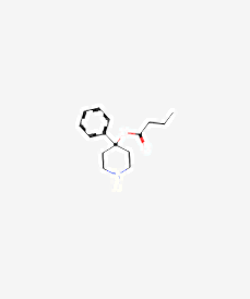 CCCC(=O)OC1(c2ccccc2)CCNCC1